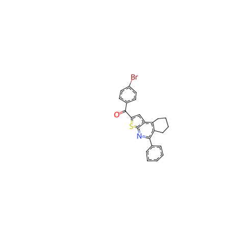 O=C(c1ccc(Br)cc1)c1cc2c3c(c(-c4ccccc4)nc2s1)CCCC3